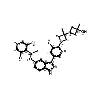 C[C@@H](Oc1ccc2[nH]nc(-c3cnc(N4CC(C)(N5CC(C)(O)C5)C4)c(F)c3)c2c1)c1c(Cl)cncc1Cl